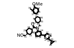 COc1ccc([C@H]2CC[C@H](CN(c3cccc(-c4cnc(C5CC5)s4)c3)C(=O)[C@H]3CC[C@H](CC#N)CC3)CC2)cc1C